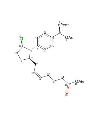 CCCCC[C@@H](OC(C)=O)c1ccc([C@@H]2[C@@H](C/C=C\CCCC(=O)OC)CC[C@H]2Cl)cc1